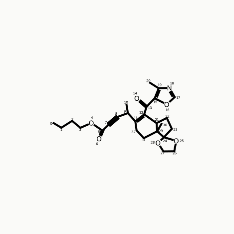 CCCCOC(=O)C#CC(C)C1=C(C(=O)c2ocnc2C)C2CCC3(OCCO3)C2(C)CC1